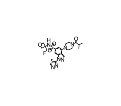 CC(C)C(=O)N1CCN(c2cc(S(=O)(=O)NC3(CF)COC3)cc3c2cnn3-c2nncs2)CC1